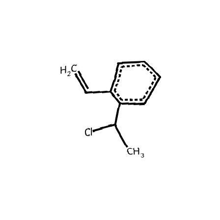 C=Cc1ccccc1C(C)Cl